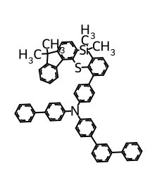 CC1(C)c2ccccc2-c2c1ccc1c2Sc2c(-c3ccc(N(c4ccc(-c5ccccc5)cc4)c4ccc(-c5cccc(-c6ccccc6)c5)cc4)cc3)cccc2[Si]1(C)C